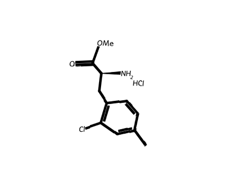 COC(=O)[C@@H](N)Cc1ccc(C)cc1Cl.Cl